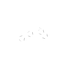 c1ccc2c(c1)oc1ccc(Cc3cncc4cc5c(cc34)OCCO5)cc12